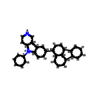 c1ccc(-n2c3ccncc3c3cc(-c4ccc5c6c(cccc46)-c4ccccc4-5)ccc32)cc1